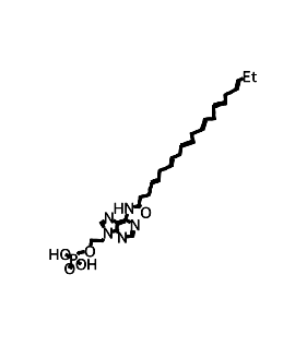 CCC=CCC=CCC=CCC=CCC=CCC=CCCC(=O)Nc1ncnc2c1ncn2CCOCP(=O)(O)O